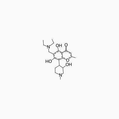 CCN(CC)Cc1c(O)c(C2CCN(C)CC2O)c2oc(C)cc(=O)c2c1O